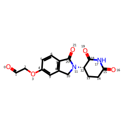 O=CCOc1ccc2c(c1)CN([C@H]1CCC(=O)NC1=O)C2=O